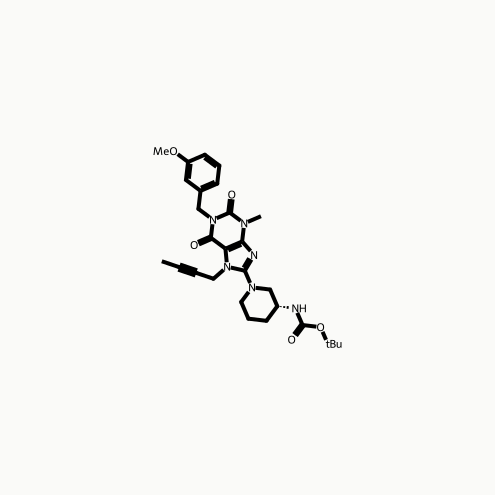 CC#CCn1c(N2CCC[C@@H](NC(=O)OC(C)(C)C)C2)nc2c1c(=O)n(Cc1cccc(OC)c1)c(=O)n2C